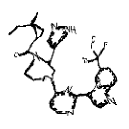 CCC1(C)CC1C(=O)N1CCN(c2ccnc(-c3cnc4ccc(C(F)(F)F)cn34)n2)CC1c1cn[nH]c1